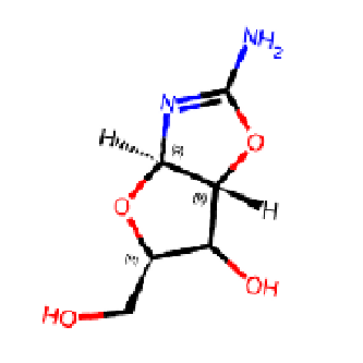 NC1=N[C@@H]2O[C@H](CO)C(O)[C@H]2O1